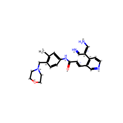 Cc1cc(NC(=O)/C=C/c2cnccc2/C(C=N)=C/N)ccc1CN1CCOCC1